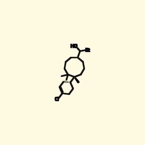 CCC(O)C1CCCC(C)(C)[C@@](C)([C@H]2CC=C(Cl)CC2)CCC1